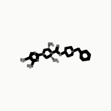 C[C@@H]1CN(c2ncc(C(F)(F)F)c(N)n2)C[C@H](C)N1C(=O)OC1CCN(Cc2ccccc2)CC1